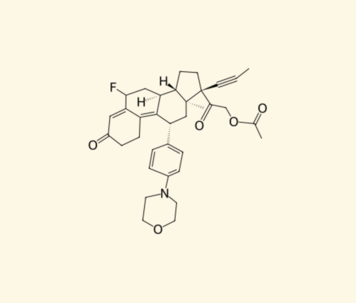 CC#C[C@]1(C(=O)COC(C)=O)CC[C@H]2[C@@H]3CC(F)C4=CC(=O)CCC4=C3[C@@H](c3ccc(N4CCOCC4)cc3)C[C@@]21C